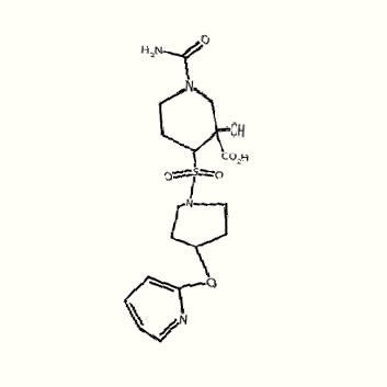 NC(=O)N1CCC(S(=O)(=O)N2CCC(Oc3ccccn3)CC2)C(O)(C(=O)O)C1